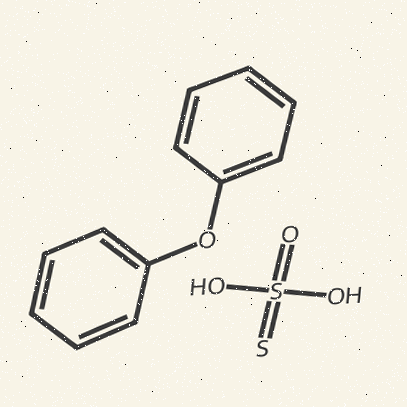 O=S(O)(O)=S.c1ccc(Oc2ccccc2)cc1